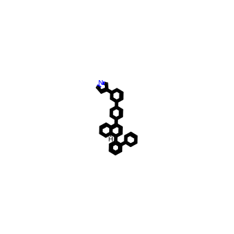 C1=CCC(c2ccccc2C2C=CC(C3C=CC(C4C=CCC(C5=CC=NC5)C4)CC3)=C3C=CCC[C@@H]32)CC1